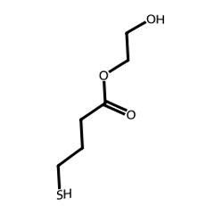 O=C(CCCS)OCCO